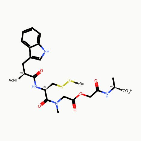 CC(=O)N[C@@H](Cc1c[nH]c2ccccc12)C(=O)N[C@@H](CSSC(C)(C)C)C(=O)N(C)CC(=O)OCC(=O)N[C@@H](C)C(=O)O